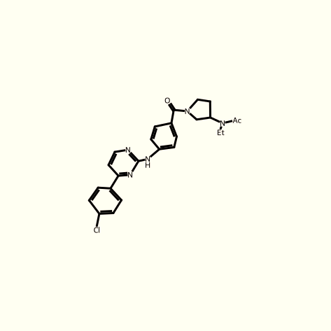 CCN(C(C)=O)C1CCN(C(=O)c2ccc(Nc3nccc(-c4ccc(Cl)cc4)n3)cc2)C1